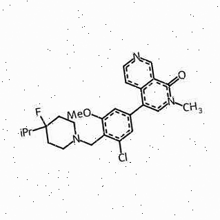 COc1cc(-c2cn(C)c(=O)c3cnccc23)cc(Cl)c1CN1CCC(F)(C(C)C)CC1